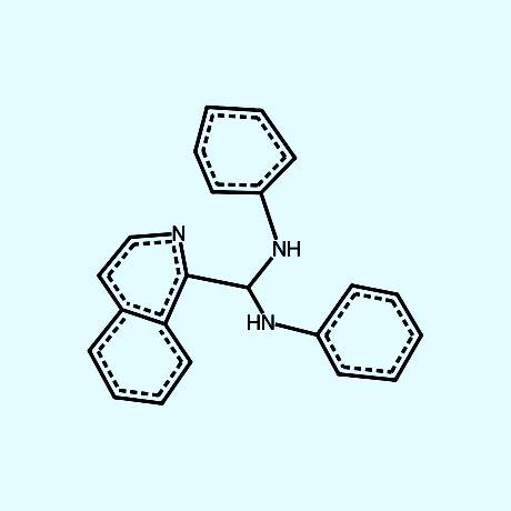 c1ccc(NC(Nc2ccccc2)c2nccc3ccccc23)cc1